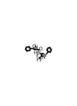 O=C(Nc1cn(Cc2ccccc2)nc1C(F)(F)F)c1cc(-c2ccccc2)on1